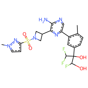 Cc1ccc(C(O)(C(O)F)C(F)F)cc1-c1cnc(N)c(C2CN(S(=O)(=O)c3ccn(C)n3)C2)n1